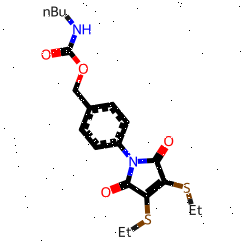 CCCCNC(=O)OCc1ccc(N2C(=O)C(SCC)=C(SCC)C2=O)cc1